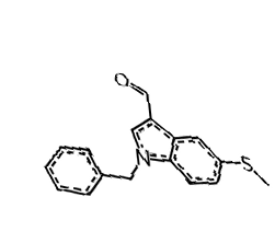 CSc1ccc2c(c1)c(C=O)cn2Cc1ccccc1